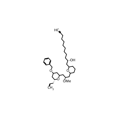 C#CCCCCCCCC[C@H](O)CC1CCCC(C[C@H](CC2CC(OCc3ccccc3)C[C@@H](CC=C)O2)OC)O1